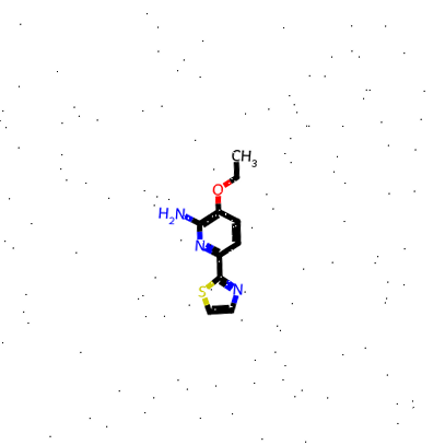 CCOc1ccc(-c2nccs2)nc1N